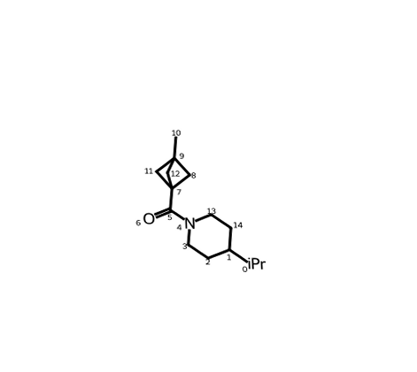 CC(C)C1CCN(C(=O)C23CC(C)(C2)C3)CC1